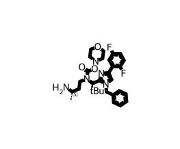 C[C@H](N)CCN(C(=O)ON1CCOCC1)[C@@H](c1nc(-c2cc(F)ccc2F)cn1Cc1ccccc1)C(C)(C)C